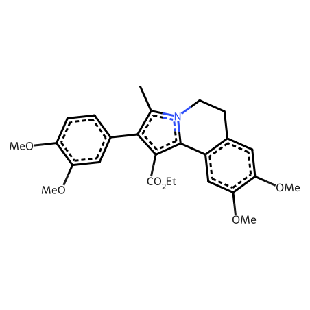 CCOC(=O)c1c(-c2ccc(OC)c(OC)c2)c(C)n2c1-c1cc(OC)c(OC)cc1CC2